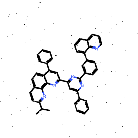 CC(C)c1ccc2ccc3c(-c4ccccc4)cc(-c4cc(-c5ccccc5)nc(-c5cccc(-c6cccc7cccnc67)c5)n4)nc3c2n1